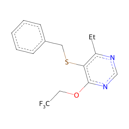 CCc1ncnc(OCC(F)(F)F)c1SCc1ccccc1